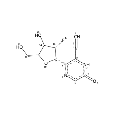 C#Cc1[nH]c(=O)cnc1[C@@H]1O[C@H](CO)C(O)[C@@H]1F